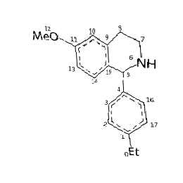 CCc1ccc(C2NCCc3cc(OC)ccc32)cc1